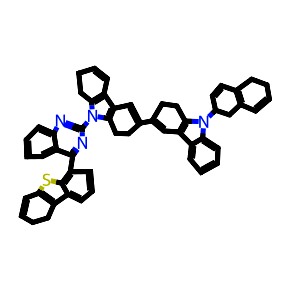 C1=CC2=C(C=CC(n3c4c(c5ccccc53)C=C(C3=Cc5c6c(n(-c7nc(-c8cccc9c%10c(sc89)C=CCC%10)c8ccccc8n7)c5CC3)CCC=C6)CC4)C2)CC1